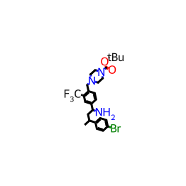 CC(CC(N)c1ccc(CN2CCN(C(=O)OC(C)(C)C)CC2)c(C(F)(F)F)c1)c1ccc(Br)cc1